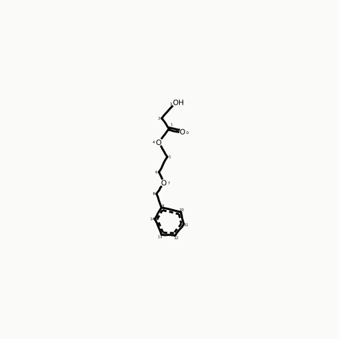 O=C(CO)OCCOCc1ccccc1